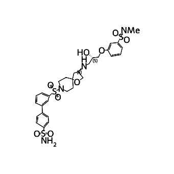 CNS(=O)(=O)c1cccc(OC[C@@H](O)CN[C@H]2COC3(CCN(S(=O)(=O)c4cccc(-c5ccc(S(N)(=O)=O)cc5)c4)CC3)C2)c1